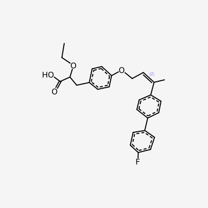 CCOC(Cc1ccc(OC/C=C(/C)c2ccc(-c3ccc(F)cc3)cc2)cc1)C(=O)O